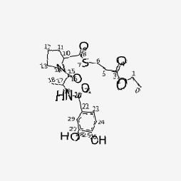 CCOC(=O)CCSC(=O)C1CCCN1C(=O)C(C)NC(=O)c1ccc(O)c(O)c1